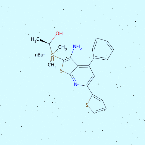 CCCC[SH](C)(C)(c1sc2nc(-c3cccs3)cc(-c3ccccc3)c2c1N)[C@@H](C)O